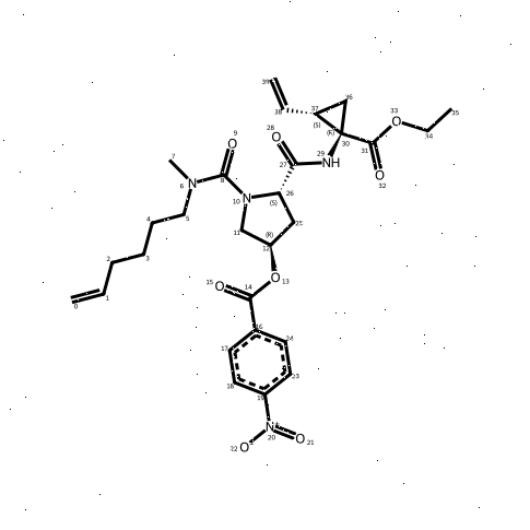 C=CCCCCN(C)C(=O)N1C[C@H](OC(=O)c2ccc([N+](=O)[O-])cc2)C[C@H]1C(=O)N[C@]1(C(=O)OCC)C[C@H]1C=C